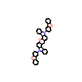 c1ccc2c(c1)oc1ccc(-n3c4ccccc4c4c5c(ccc43)Oc3c(ccc4c3c3ccccc3n4-c3ccc4oc6ccccc6c4c3)C5)cc12